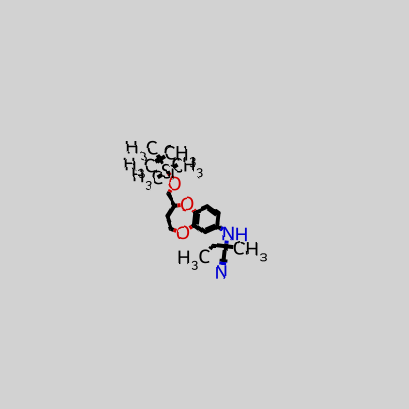 CCC(C)(C#N)Nc1ccc2c(c1)OCCC(CO[Si](C)(C)C(C)(C)C)O2